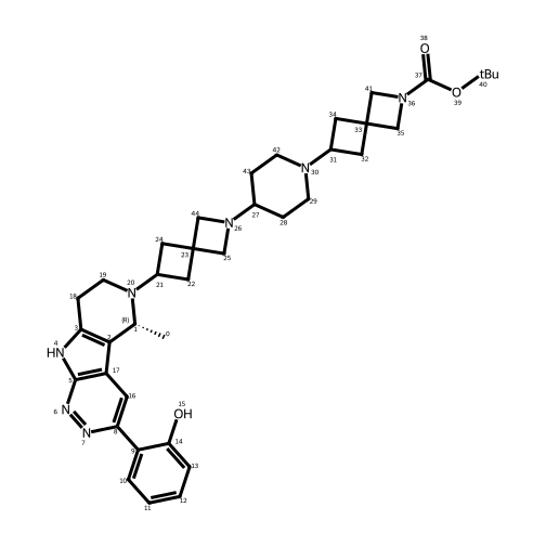 C[C@@H]1c2c([nH]c3nnc(-c4ccccc4O)cc23)CCN1C1CC2(C1)CN(C1CCN(C3CC4(C3)CN(C(=O)OC(C)(C)C)C4)CC1)C2